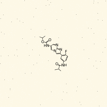 CC(C)OC(=O)Nc1cnc2nc(-c3cc(NC(=O)C(C)C)ccc3F)cn2c1